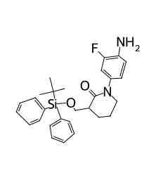 CC(C)(C)[Si](OCC1CCCN(c2ccc(N)c(F)c2)C1=O)(c1ccccc1)c1ccccc1